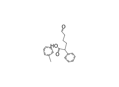 Cc1ccccc1.O=CCCCC(C(=O)O)c1ccccc1